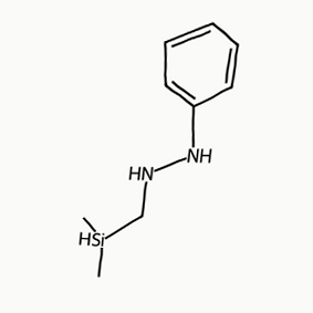 C[SiH](C)CNNc1ccccc1